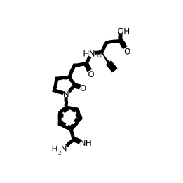 C#C[C@H](CC(=O)O)NC(=O)CC1CCN(c2ccc(C(=N)N)cc2)C1=O